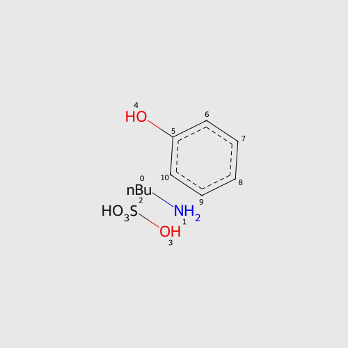 CCCCN.O=S(=O)(O)O.Oc1ccccc1